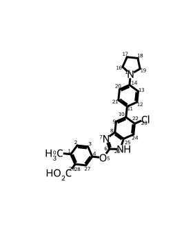 Cc1ccc(Oc2nc3cc(-c4ccc(N5CCCC5)cc4)c(Cl)cc3[nH]2)cc1C(=O)O